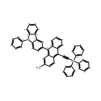 Cc1ccc2c(C#C[Si](c3ccccc3)(c3ccccc3)c3ccccc3)c3ccccc3c(-c3ccc4c(c3)c3ccccc3n4-c3ccccc3)c2c1